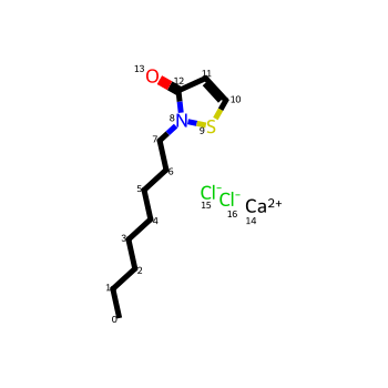 CCCCCCCCn1sccc1=O.[Ca+2].[Cl-].[Cl-]